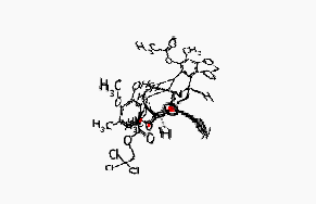 COc1c(C)cc2c(c1O)[C@H]1[C@@H]3C4SC[C@H](NC(=O)OCC(Cl)(Cl)Cl)C(=O)OC[C@@H](c5c6c(c(C)c(OC(C)=O)c54)OCO6)N3[C@@H](C#N)[C@@H](C2)N1C